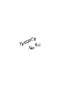 [Cd].[Cd]=[Te].[Mn]